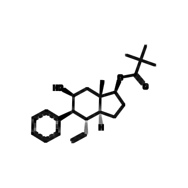 C=C[C@@H]1[C@@H](c2ccccc2)[C@@H](O)C[C@]2(C)[C@@H](OC(=O)C(C)(C)C)CC[C@@H]12